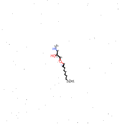 CCCCCCCCCCCCCCCC/C=C/OCC(O)CNC(C)C